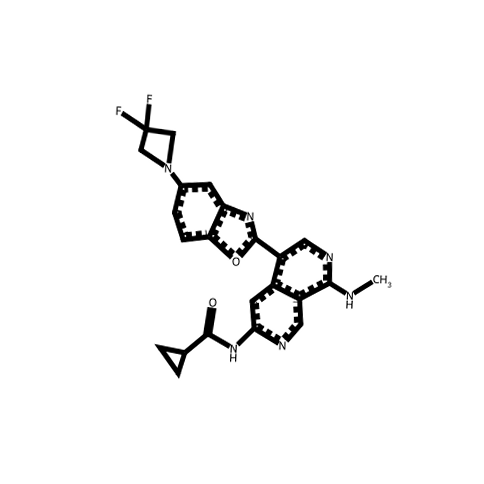 CNc1ncc(-c2nc3cc(N4CC(F)(F)C4)ccc3o2)c2cc(NC(=O)C3CC3)ncc12